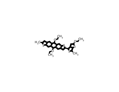 CCOc1cc2c(-c3cc4cc5c(OCC)c6cc7sc(C)cc7cc6c(OCC)c5cc4s3)sc(C)c2s1